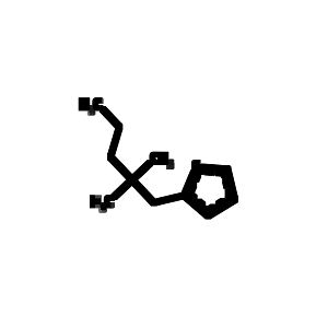 CCCC(C)(C)Cc1cccs1